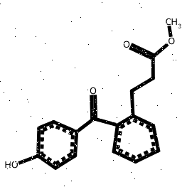 COC(=O)CCc1ccccc1C(=O)c1ccc(O)cc1